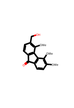 COc1ccc2c(c1OC)-c1c(ccc(CO)c1OC)C2=O